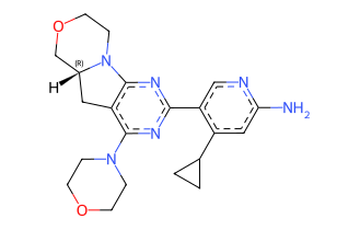 Nc1cc(C2CC2)c(-c2nc(N3CCOCC3)c3c(n2)N2CCOC[C@H]2C3)cn1